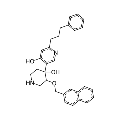 Oc1cc(CCCc2ccccc2)ncc1C1(O)CCNCC1OCc1ccc2ccccc2c1